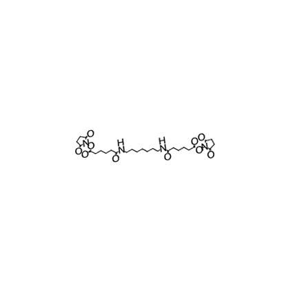 O=C(CCCCC(=O)ON1C(=O)CCC1=O)NCCCCCCCNC(=O)CCCCC(=O)ON1C(=O)CCC1=O